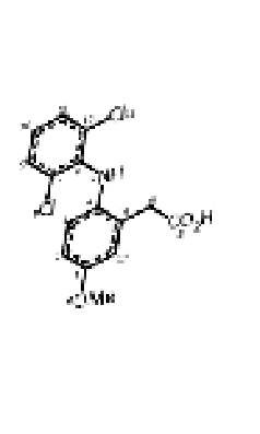 COc1ccc(Nc2c(Cl)cccc2Cl)c(CC(=O)O)c1